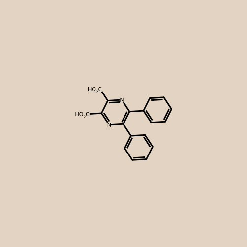 O=C(O)c1nc(-c2ccccc2)c(-c2ccccc2)nc1C(=O)O